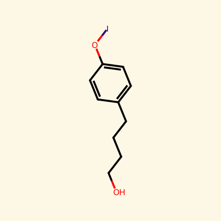 OCCCCc1ccc(OI)cc1